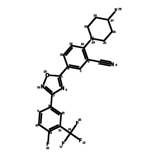 N#Cc1cc(-c2nc(-c3ccc(F)c(C(F)(F)F)c3)no2)ccc1N1CCC(F)CC1